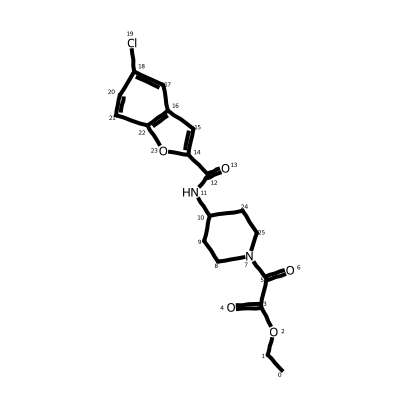 CCOC(=O)C(=O)N1CCC(NC(=O)c2cc3cc(Cl)ccc3o2)CC1